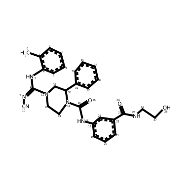 Cc1ccccc1N/C(=N/C#N)N1CCN(C(=O)Nc2cccc(C(=O)NCCO)c2)C(c2ccccc2)C1